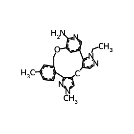 CCn1ncc2c1-c1cnc(N)c(c1)OCc1cc(C)ccc1-c1nn(C)cc1C2